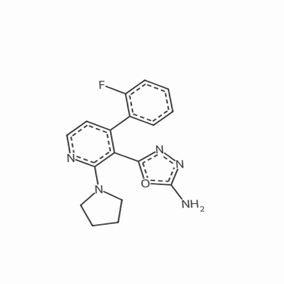 Nc1nnc(-c2c(-c3ccccc3F)ccnc2N2CCCC2)o1